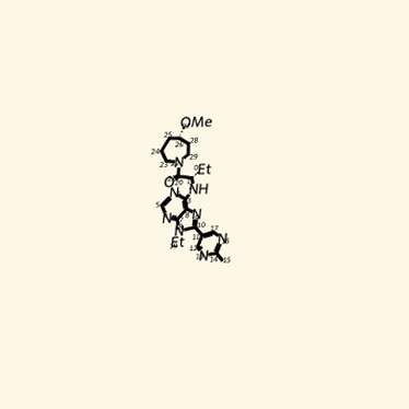 CC[C@H](Nc1ncnc2c1nc(-c1cnc(C)nc1)n2CC)C(=O)N1CCC[C@H](OC)CC1